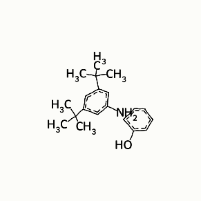 CC(C)(C)c1cc(N)cc(C(C)(C)C)c1.Oc1ccccc1